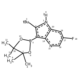 [2H]n1c(C(C)(C)C)c(B2OC(C)(C)C(C)(C)O2)c2ncc(F)cc21